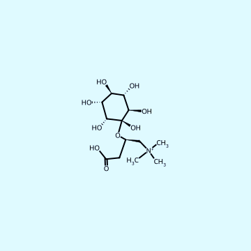 C[N+](C)(C)C[C@@H](CC(=O)O)O[C@]1(O)[C@H](O)[C@H](O)[C@@H](O)[C@H](O)[C@H]1O